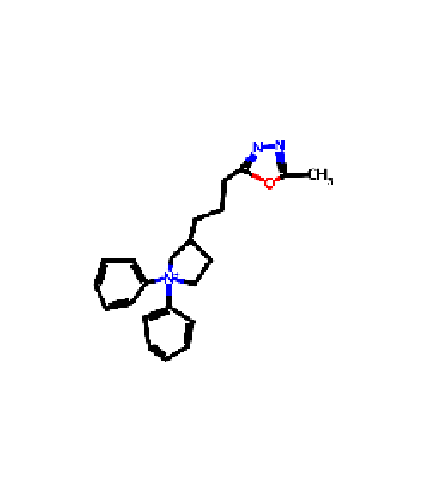 Cc1nnc(CCCC2CC[N+](c3ccccc3)(c3ccccc3)C2)o1